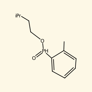 Cc1ccccc1[PH](=O)OCCC(C)C